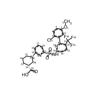 COc1ccc(Cl)c(-c2nc(NS(=O)(=O)c3cccc(N4CCC[C@@H](C(=O)O)C4)n3)ccc2C(F)(F)F)c1